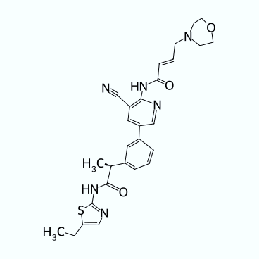 CCc1cnc(NC(=O)[C@@H](C)c2cccc(-c3cnc(NC(=O)/C=C/CN4CCOCC4)c(C#N)c3)c2)s1